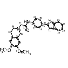 COc1cc2c(cc1OC)CN(CC(=O)Nc1ccc(-c3cn4ccccc4n3)cc1)CC2